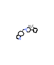 Cc1ccccc1C1CCN(C[C@@H]2CCc3cccnc3CC2)CC1